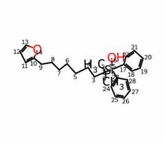 CC(C)(CCCCCCCc1ccco1)[Si](O)(c1ccccc1)c1ccccc1